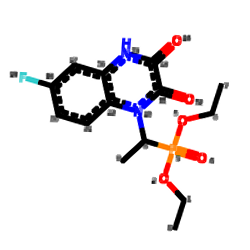 CCOP(=O)(OCC)C(C)n1c(=O)c(=O)[nH]c2cc(F)ccc21